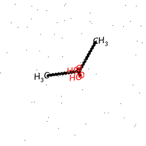 CCCCCCCCCCCCCCCCCCCCCCC(CCCCCCCCCCCCCCCCCCCCCC)(CCC(=O)O)C(=O)O